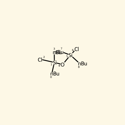 CCCC[Si](Cl)(CCCC)O[Si](Cl)(CCCC)CCCC